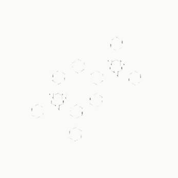 c1ccc(-c2cccc(-c3nc(-c4ccccc4)nc(-c4cc(-c5ccccc5)cc(-c5cccc(-c6cccc(-c7nc(-c8ccccc8)nc(-c8ccccc8)n7)c6)c5)c4)n3)c2)cc1